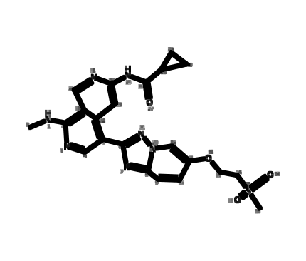 CNc1ncc(-c2nc3ccc(OCCS(C)(=O)=O)cn3n2)c2cc(NC(=O)C3CC3)ncc12